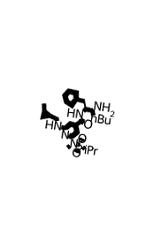 CCCCC(N)[C@H](Cc1ccccc1)NC(=O)c1cc(NCC2CC2C)nc(N(C)S(=O)(=O)C(C)C)c1